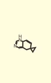 [C]1=C2CC3(C=CC2NC=N1)CC3